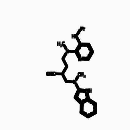 CC(C)Nc1cccnc1N(C)CCC(C=O)CN(C)c1cc2ccccc2[nH]1